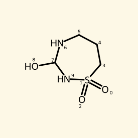 O=S1(=O)CCCNC(O)N1